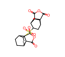 O=C1OC(=O)C2C3CCC(CC3S(=O)(=O)C3CC4CCC3C3C(=O)OC(=O)C43)C12